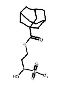 O=C(NCCN(O)S(=O)(=O)C(F)(F)F)C12CC3CC(CC(C3)C1)C2